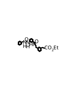 CCOC(=O)CCc1cccc(CCNC(=O)c2cccc(NC(=O)NCc3ccccc3)c2)c1